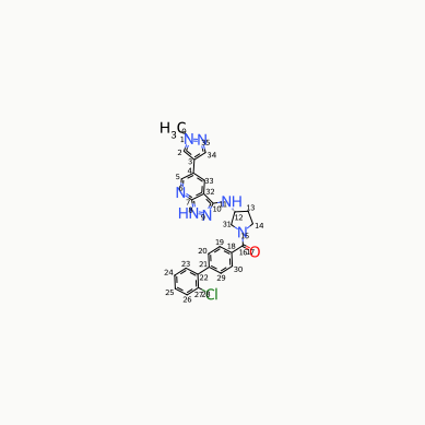 Cn1cc(-c2cnc3[nH]nc(N[C@@H]4CCN(C(=O)c5ccc(-c6ccccc6Cl)cc5)C4)c3c2)cn1